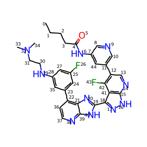 CCCCC(=O)Nc1cncc(-c2cnc3[nH]nc(-c4nc5c(-c6cc(F)cc(NCCN(C)C)c6)ccnc5[nH]4)c3c2F)c1